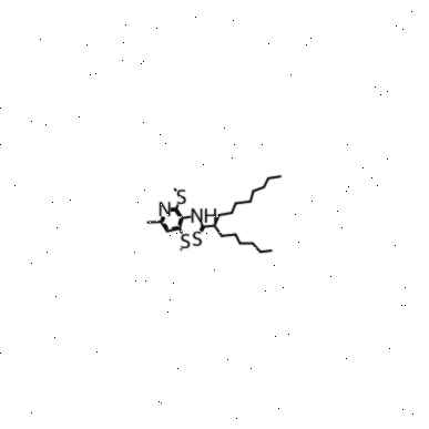 CCCCCCCCC(CCCCCC)C(=S)Nc1c(SC)cc(C)nc1SC